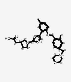 Cc1ccc(OCc2ccc(CN3CCOCC3)cc2C)c(-c2csc(N3CCC(CC(=O)O)C3)n2)c1